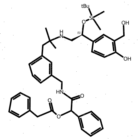 CC(C)(Cc1cccc(CNC(=O)C(OC(=O)Cc2ccccc2)c2ccccc2)c1)NC[C@@H](O[Si](C)(C)C(C)(C)C)c1ccc(O)c(CO)c1